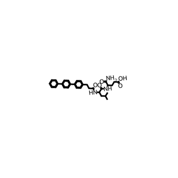 CC(C)CC(NC(=O)CCc1ccc(-c2ccc(-c3ccccc3)cc2)cc1)C(=O)NC(CCC(=O)O)C(N)=O